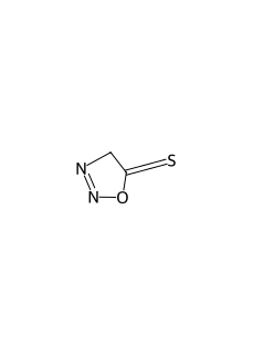 S=C1CN=NO1